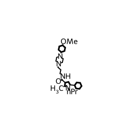 CCCn1c(-c2ccccc2)cc(C(=O)NCCCN2CCN(c3ccc(OC)cc3)CC2)c1C